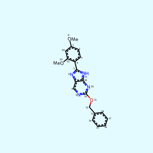 COc1ccc(-c2nc3cnc(OCc4ccccc4)nc3[nH]2)c(OC)c1